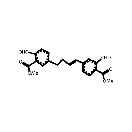 COC(=O)c1ccc(/C=C/CCc2ccc(C=O)c(C(=O)OC)c2)cc1C=O